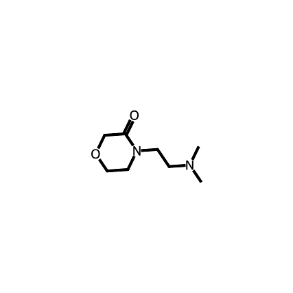 CN(C)CCN1CCOCC1=O